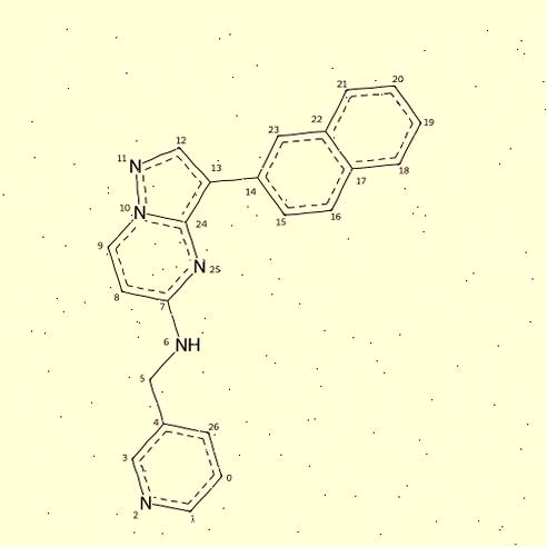 c1cncc(CNc2ccn3ncc(-c4ccc5ccccc5c4)c3n2)c1